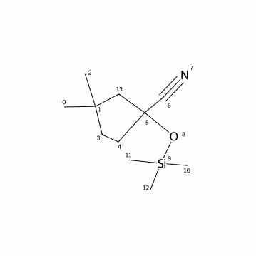 CC1(C)CCC(C#N)(O[Si](C)(C)C)C1